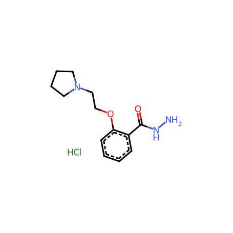 Cl.NNC(=O)c1ccccc1OCCN1CCCC1